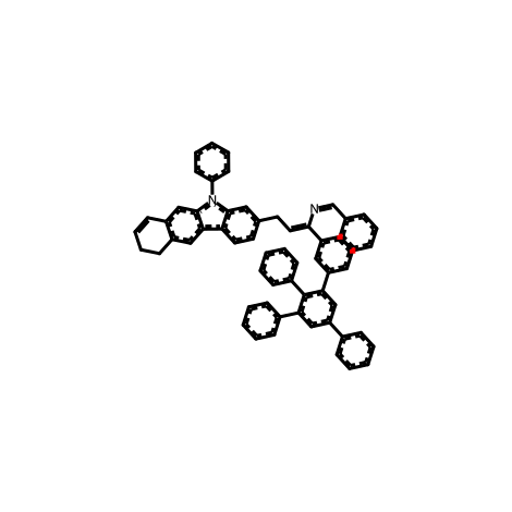 C1=Cc2cc3c(cc2CC1)c1ccc(C/C=C(\N=C/c2ccccc2)c2cccc(-c4cc(-c5ccccc5)cc(-c5ccccc5)c4-c4ccccc4)c2)cc1n3-c1ccccc1